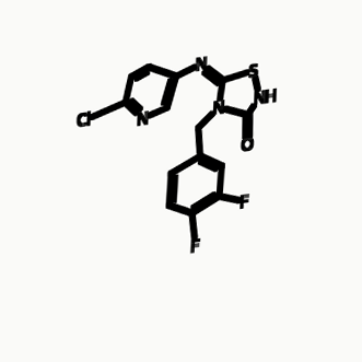 O=c1[nH]sc(=Nc2ccc(Cl)nc2)n1Cc1ccc(F)c(F)c1